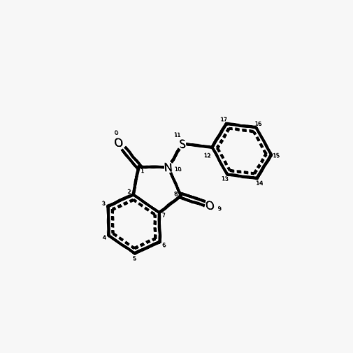 O=C1c2ccccc2C(=O)N1Sc1ccccc1